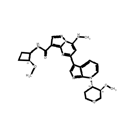 CNc1cc(-c2cnc3n([C@H]4CCOC[C@@H]4OC)cccc2-3)nc2c(C(=O)NC3CC[C@@H]3OC)cnn12